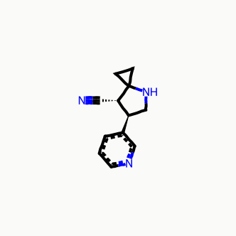 N#C[C@H]1[C@H](c2cccnc2)CNC12CC2